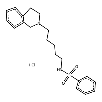 Cl.O=S(=O)(NCCCCCN1CCc2ccccc2C1)c1ccccc1